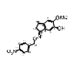 COc1cc2c(cc1O)/C(=N/OCc1ccc([N+](=O)[O-])cc1)CC2